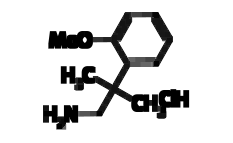 COc1ccccc1C(C)(C)CN.Cl